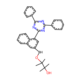 CC(C)(O)C(C)(C)OBc1cc(-c2nc(-c3ccccc3)nc(-c3ccccc3)n2)c2ccccc2c1